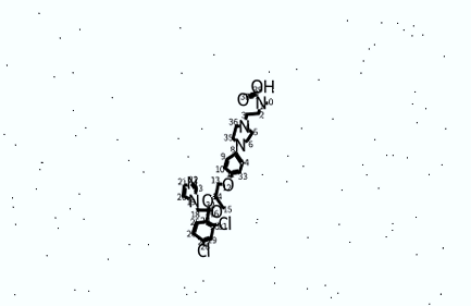 CN(CCN1CCN(c2ccc(OCC3COC(Cn4ccnc4)(c4ccc(Cl)cc4Cl)O3)cc2)CC1)C(=O)O